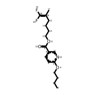 CCCCOc1ccc(C(=O)OCCCCC(C)=C(F)F)cn1